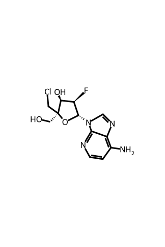 Nc1ccnc2c1ncn2[C@@H]1O[C@@](CO)(CCl)[C@@H](O)[C@H]1F